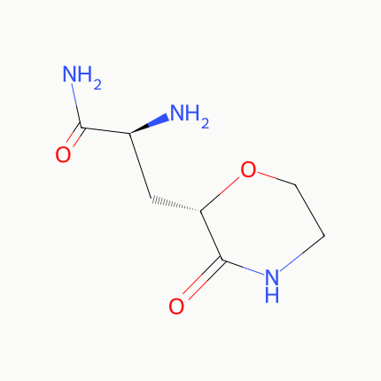 NC(=O)[C@@H](N)C[C@@H]1OCCNC1=O